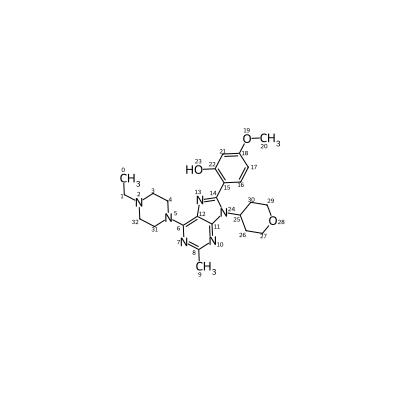 CCN1CCN(c2nc(C)nc3c2nc(-c2ccc(OC)cc2O)n3C2CCOCC2)CC1